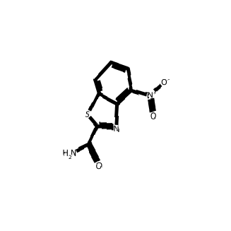 NC(=O)c1nc2c([N+](=O)[O-])cccc2s1